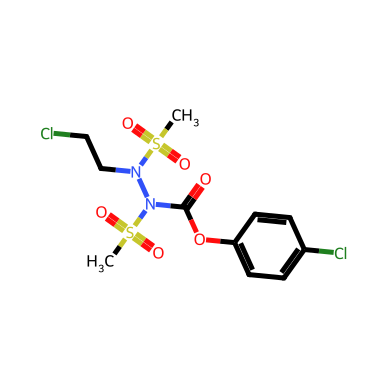 CS(=O)(=O)N(CCCl)N(C(=O)Oc1ccc(Cl)cc1)S(C)(=O)=O